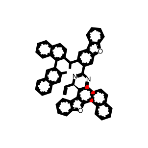 C=C[C@@H](/N=C(\N=C(/C)c1ccc2ccccc2c1)c1cc2oc3ccccc3c2cc1C(C)c1ccc2ccccc2c1-c1cc2ccccc2cc1C)c1cccc2oc3ccccc3c12